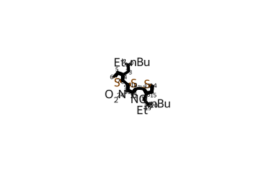 CCCCC(CC)Cc1ccsc1-c1sc(-c2sccc2CC(CC)CCCC)c([N+](=O)[O-])c1[N+](=O)[O-]